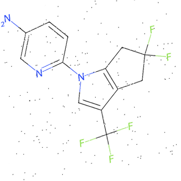 Nc1ccc(-n2cc(C(F)(F)F)c3c2CC(F)(F)C3)nc1